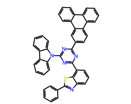 c1ccc(-c2nc3cccc(-c4nc(-c5ccc6c7ccccc7c7ccccc7c6c5)nc(-n5c6ccccc6c6ccccc65)n4)c3s2)cc1